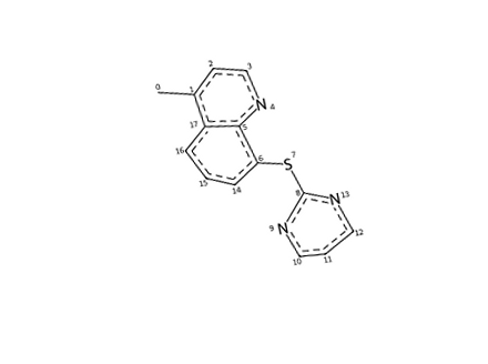 Cc1ccnc2c(Sc3ncccn3)cccc12